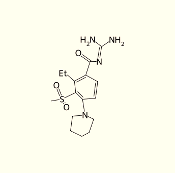 CCc1c(C(=O)N=C(N)N)ccc(N2CCCCC2)c1S(C)(=O)=O